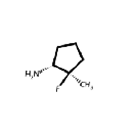 C[C@@]1(F)CCC[C@H]1N